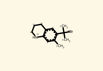 Cc1cc2c(cc1C(C)(C)Br)CCCN2